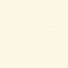 O=C(O)C(Oc1cccc2ccccc12)Oc1cccc2ccccc12